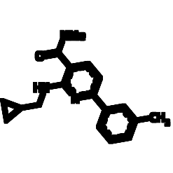 CNC(=O)c1ccc(-c2cccc(C)c2)nc1NCC1CC1